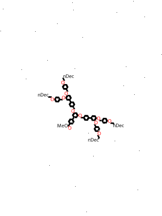 CCCCCCCCCCCCOc1ccc(COc2ccc(-c3ccc(COc4cc(OCc5ccc(-c6ccc(OCc7ccc(OCCCCCCCCCCCC)cc7)c(OCc7ccc(OCCCCCCCCCCCC)cc7)c6)cc5)cc(-c5ccc(C(=O)OC)cc5)c4)cc3)cc2OCc2ccc(OCCCCCCCCCCCC)cc2)cc1